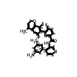 CC1=CCOc2c1cc(F)c(-c1nc(C(=O)Nc3cnccc3[C@@H]3C[C@H](C)C[C@@H](N)C3)ccc1F)c2F